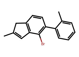 CC1=Cc2c(ccc(-c3ccccc3C)c2Br)C1